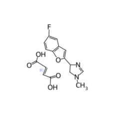 CN1C=NC(c2cc3cc(F)ccc3o2)C1.O=C(O)/C=C/C(=O)O